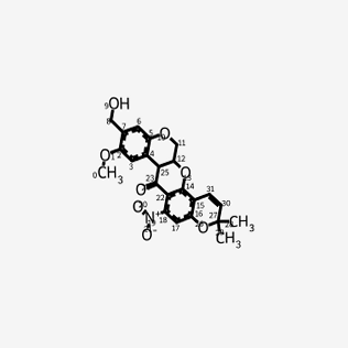 COc1cc2c(cc1CO)OCC1Oc3c4c(cc([N+](=O)[O-])c3C(=O)C21)OC(C)(C)C=C4